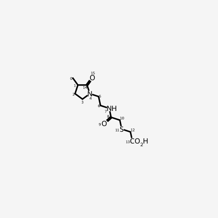 CC1CCN(CCNC(=O)CSCC(=O)O)C1=O